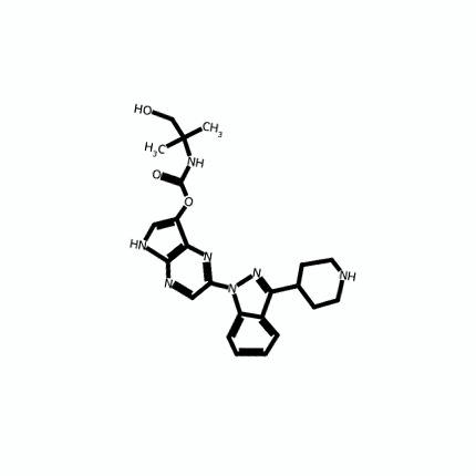 CC(C)(CO)NC(=O)Oc1c[nH]c2ncc(-n3nc(C4CCNCC4)c4ccccc43)nc12